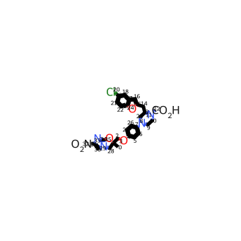 CC1(COc2ccc(N3CCN(C(=O)O)C(Cc4cc5cc(Cl)ccc5o4)C3)cc2)Cn2cc([N+](=O)[O-])nc2O1